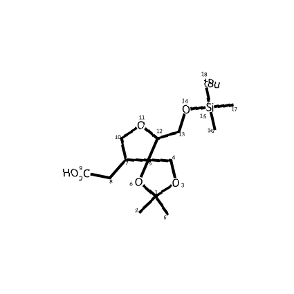 CC1(C)OCC2(O1)C(CC(=O)O)COC2CO[Si](C)(C)C(C)(C)C